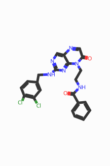 O=C(NCCn1c(=O)cnc2cnc(NCc3ccc(Cl)c(Cl)c3)nc21)c1ccccc1